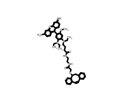 CCN(CC)c1cc(-c2c3ccc(=N)cc-3oc3cc(N)ccc23)c(OC)cc1N(CC)CCCC(=O)NCCNC(=O)COC1Cc2ccccc2C#Cc2ccccc21